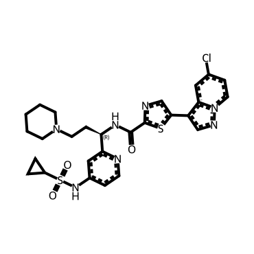 O=C(N[C@H](CCN1CCCCC1)c1cc(NS(=O)(=O)C2CC2)ccn1)c1ncc(-c2cnn3ccc(Cl)cc23)s1